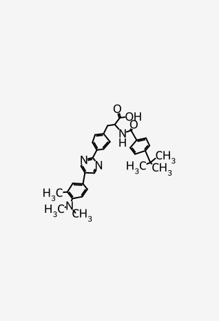 Cc1cc(-c2cnc(-c3ccc(CC(NC(=O)c4ccc(C(C)(C)C)cc4)C(=O)O)cc3)nc2)ccc1N(C)C